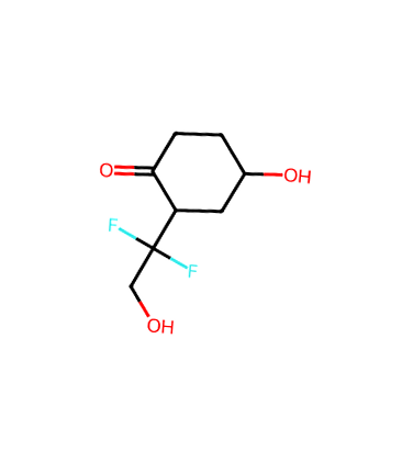 O=C1CCC(O)CC1C(F)(F)CO